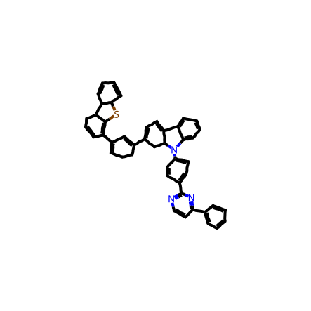 C1=CC2SC3=C(C4=CCCC(C5=CC=C6c7ccccc7N(c7ccc(-c8nccc(-c9ccccc9)n8)cc7)C6C5)=C4)C=CCC3C2C=C1